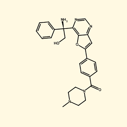 CN1CCN(C(=O)c2ccc(-c3cc4ncnc([C@](N)(CO)c5ccccc5)c4o3)cc2)CC1